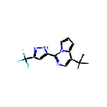 CC(C)(C)c1cnc(-c2cc(C(F)(F)F)n[nH]2)n2cccc12